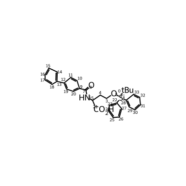 CC(C)(C)[Si](OCCC(NC(=O)c1ccc(-c2ccccc2)cc1)C(=O)O)(c1ccccc1)c1ccccc1